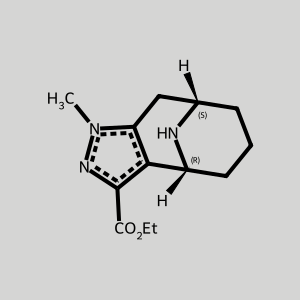 CCOC(=O)c1nn(C)c2c1[C@H]1CCC[C@@H](C2)N1